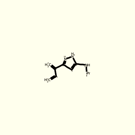 C=CC(=C)c1cc(NC(C)C)[nH]n1